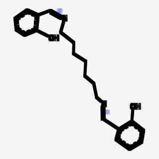 Oc1ccccc1/C=N\CCCCCCC/N=C/c1ccccc1O